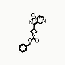 O=C(OCc1ccccc1)N1CC(C2=C3C=NC=C[N+]3(Cl)C=N2)C1